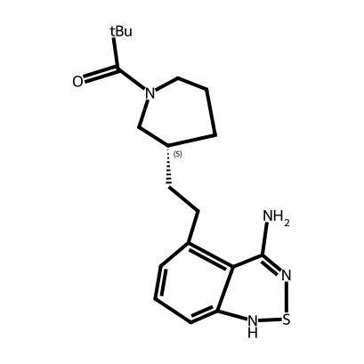 CC(C)(C)C(=O)N1CCC[C@H](CCc2cccc3c2C(N)=NSN3)C1